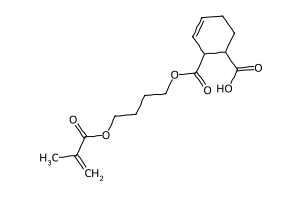 C=C(C)C(=O)OCCCCOC(=O)C1C=CCCC1C(=O)O